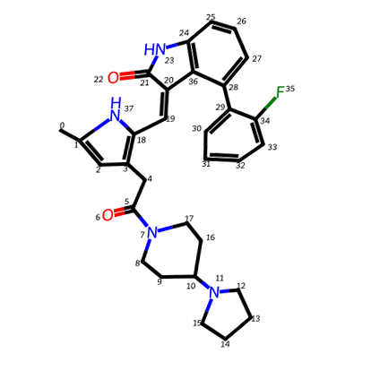 Cc1cc(CC(=O)N2CCC(N3CCCC3)CC2)c(/C=C2\C(=O)Nc3cccc(-c4ccccc4F)c32)[nH]1